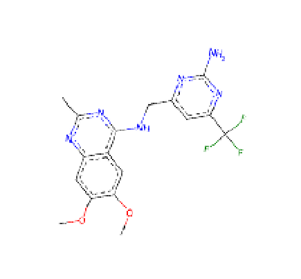 COc1cc2nc(C)nc(NCc3cc(C(F)(F)F)nc(N)n3)c2cc1OC